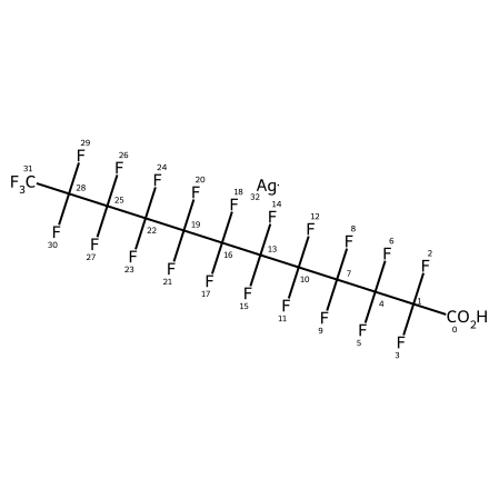 O=C(O)C(F)(F)C(F)(F)C(F)(F)C(F)(F)C(F)(F)C(F)(F)C(F)(F)C(F)(F)C(F)(F)C(F)(F)C(F)(F)F.[Ag]